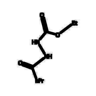 CCCC(=O)NNC(=O)OCC